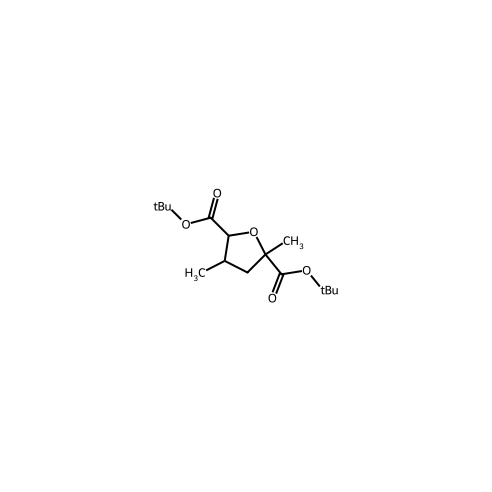 CC1CC(C)(C(=O)OC(C)(C)C)OC1C(=O)OC(C)(C)C